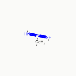 N=[N+]=N.[GeH4]